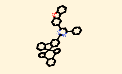 c1ccc(-c2cc(-c3ccc4oc5ccccc5c4c3)nc(-c3ccc4c(c3)-c3ccccc3C43c4ccccc4-c4ccccc4-c4ccccc43)n2)cc1